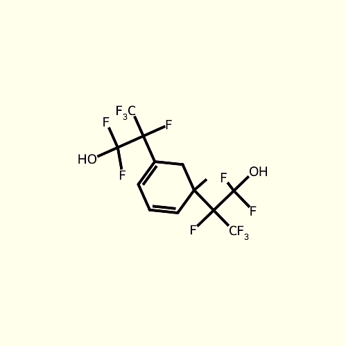 CC1(C(F)(C(O)(F)F)C(F)(F)F)C=CC=C(C(F)(C(O)(F)F)C(F)(F)F)C1